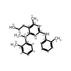 Cc1ccccc1Nc1nc(C)c(CCO)c(N(C)c2ccccc2C)n1